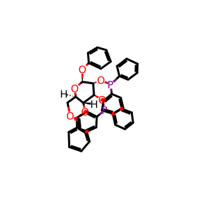 c1ccc(O[C@@H]2O[C@@H]3CO[C@H](c4ccccc4)O[C@H]3[C@H](OP(c3ccccc3)c3ccccc3)[C@H]2OP(c2ccccc2)c2ccccc2)cc1